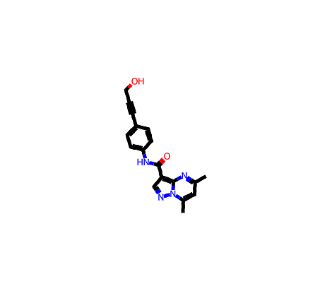 Cc1cc(C)n2ncc(C(=O)Nc3ccc(C#CCO)cc3)c2n1